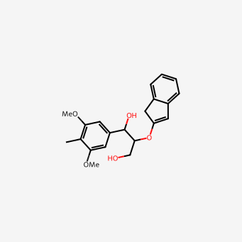 COc1cc(C(O)C(CO)OC2=Cc3ccccc3C2)cc(OC)c1C